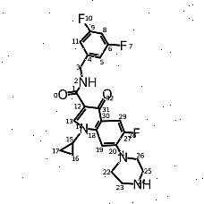 O=C(NCc1cc(F)cc(F)c1)c1cn(C2CC2)c2cc(N3CCNCC3)c(F)cc2c1=O